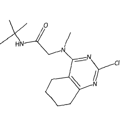 CN(CC(=O)NC(C)(C)C)c1nc(Cl)nc2c1CCCC2